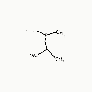 CC(C#N)P(C)C